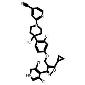 N#Cc1ccnc(N2CCC(O)(c3ccc(OCc4c(C5=C(Cl)CNC=C5Cl)noc4C4CC4)cc3Cl)CC2)c1